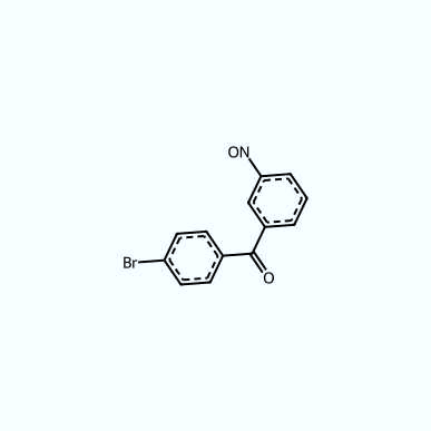 O=Nc1cccc(C(=O)c2ccc(Br)cc2)c1